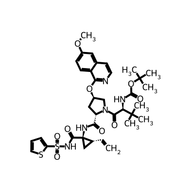 C=C[C@@H]1C[C@]1(NC(=O)[C@@H]1C[C@@H](Oc2nccc3cc(OC)ccc23)CN1C(=O)[C@@H](NC(=O)OC(C)(C)C)C(C)(C)C)C(=O)NS(=O)(=O)c1cccs1